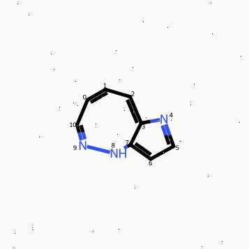 C1=CC=C2N=CC=C2NN=C1